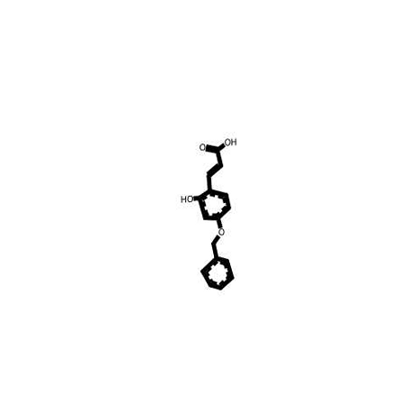 O=C(O)C=Cc1ccc(OCc2ccccc2)cc1O